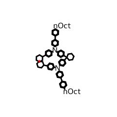 CCCCCCCCc1ccc(-c2ccc(N(c3ccc(C4CCCCC4)cc3)c3ccc(C4(c5ccc(N(c6ccc(-c7ccc(CCCCCCCC)cc7)cc6)c6ccc(C7CCCCC7)cc6)cc5)CCCCC4)cc3)cc2)cc1